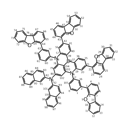 c1cc(-c2cccc3c2oc2ccccc23)cc(N2c3cc(-c4cccc5c4oc4ccccc45)ccc3B3c4ccc(-c5cccc6c5oc5ccccc56)cc4N(c4cccc(-c5cccc6c5oc5ccccc56)c4)c4cc(N(c5ccc6ccccc6c5)c5ccc6ccccc6c5)cc2c43)c1